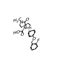 CN1CC[C@]2(CC[C@H](c3ccc(OCc4ccccc4F)cc3)N2C(=O)O)C1=O